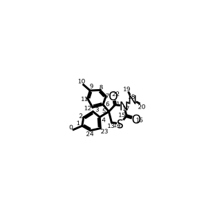 Cc1ccc(C2(c3ccc(C)cc3)CSC(=O)N(N(C)C)C2=O)cc1